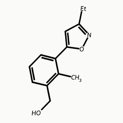 CCc1cc(-c2cccc(CO)c2C)on1